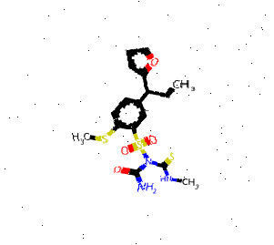 CCC(c1ccc(SC)c(S(=O)(=O)N(C(N)=O)C(=S)NC)c1)c1ccco1